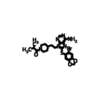 CC(C)C(=O)N1CCC(CCn2c(Sc3cc4c(cc3Br)OCO4)nc3c(N)ncnc32)CC1